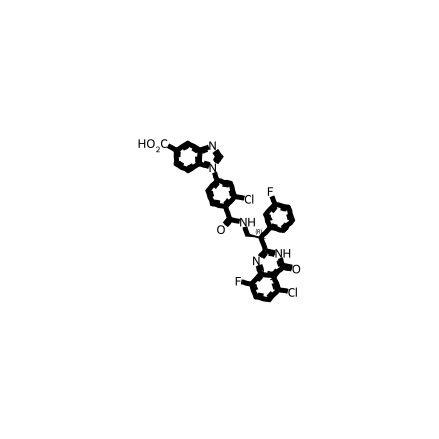 O=C(O)c1ccc2c(c1)ncn2-c1ccc(C(=O)NC[C@@H](c2cccc(F)c2)c2nc3c(F)ccc(Cl)c3c(=O)[nH]2)c(Cl)c1